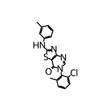 Cc1cccc(Nc2nc3ncn(-c4c(C)cccc4Cl)c(=O)c3s2)c1